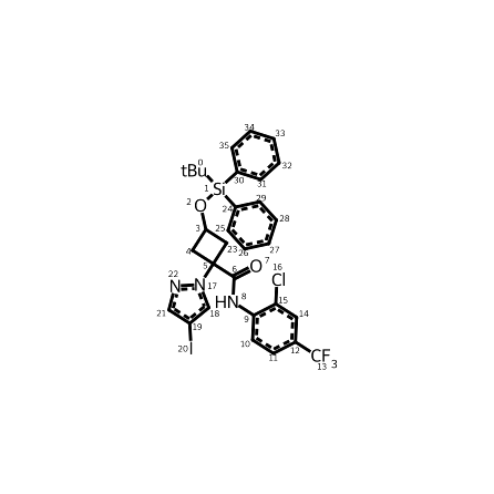 CC(C)(C)[Si](OC1CC(C(=O)Nc2ccc(C(F)(F)F)cc2Cl)(n2cc(I)cn2)C1)(c1ccccc1)c1ccccc1